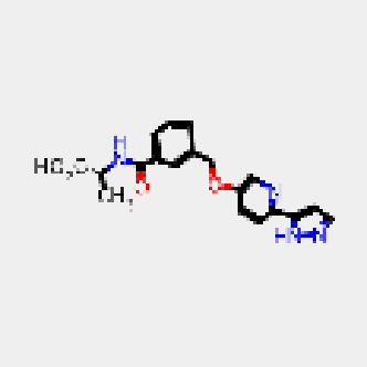 C[C@@H](NC(=O)c1cccc(COc2ccc(-c3ccn[nH]3)nc2)c1)C(=O)O